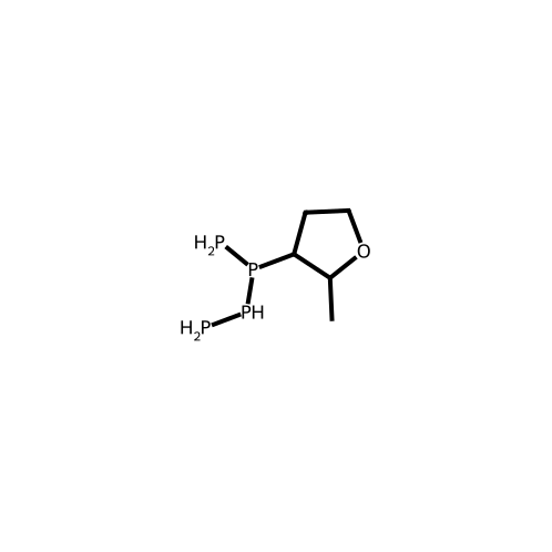 CC1OCCC1P(P)PP